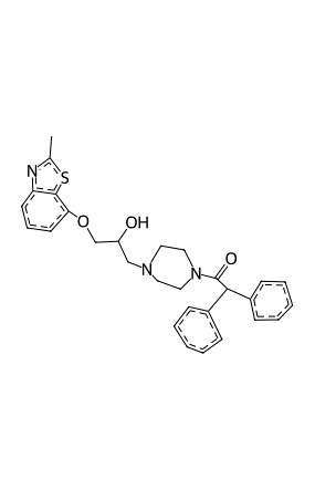 Cc1nc2cccc(OCC(O)CN3CCN(C(=O)C(c4ccccc4)c4ccccc4)CC3)c2s1